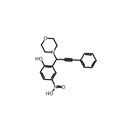 O=[N+](O)c1ccc(O)c(C(C#Cc2ccccc2)N2CCOCC2)c1